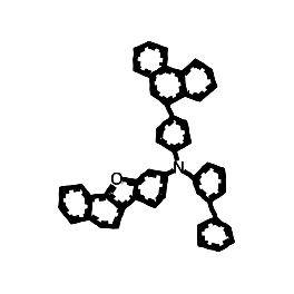 c1ccc(-c2cccc(N(c3ccc(-c4cc5ccccc5c5ccccc45)cc3)c3ccc4c(c3)oc3c5ccccc5ccc43)c2)cc1